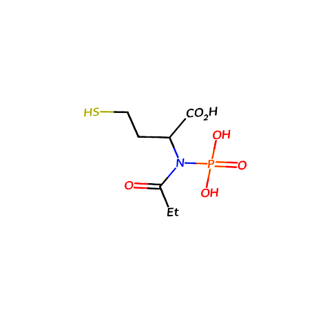 CCC(=O)N(C(CCS)C(=O)O)P(=O)(O)O